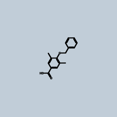 Cc1cc(C(=O)O)cc(C)c1OCc1ccccc1